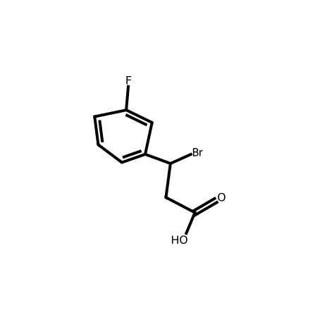 O=C(O)CC(Br)c1cccc(F)c1